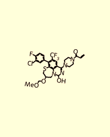 C=CC(=O)N1CCN(C2=NC(O)N3CC(OCOC)CSc4c(-c5ccc(F)c(Cl)c5)c(C(F)(F)F)cc2c43)CC1